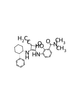 C=C=C1C(=O)C(Nc2cccc(C(=O)N(C)C)c2O)=C1N[C@H]1CCCC[C@H]1c1ccccc1